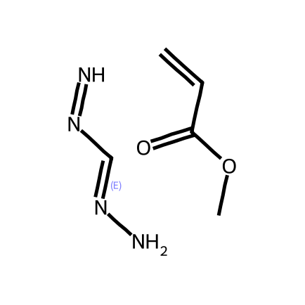 C=CC(=O)OC.N=N/C=N/N